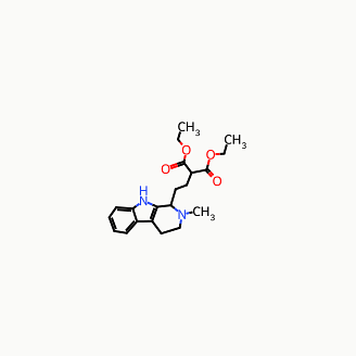 CCOC(=O)C(CCC1c2[nH]c3ccccc3c2CCN1C)C(=O)OCC